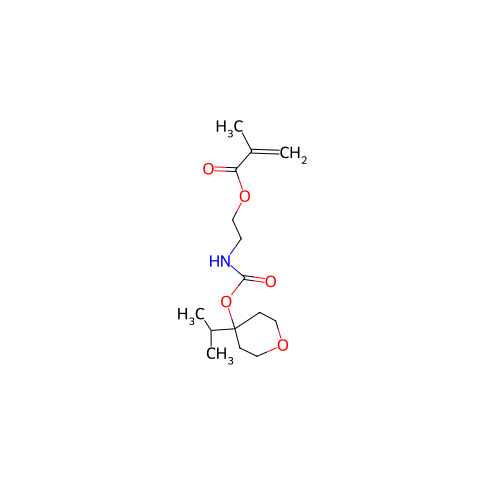 C=C(C)C(=O)OCCNC(=O)OC1(C(C)C)CCOCC1